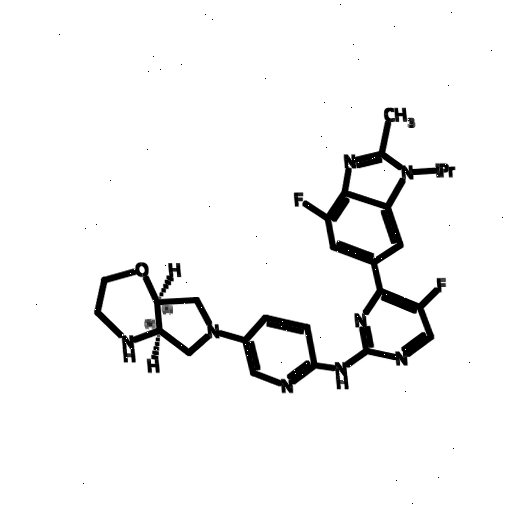 Cc1nc2c(F)cc(-c3nc(Nc4ccc(N5C[C@@H]6OCCN[C@@H]6C5)cn4)ncc3F)cc2n1C(C)C